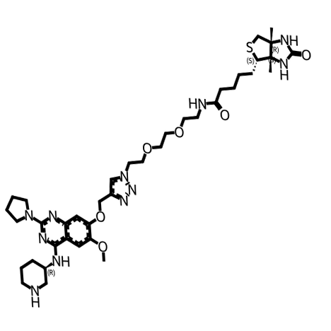 COc1cc2c(N[C@@H]3CCCNC3)nc(N3CCCC3)nc2cc1OCc1cn(CCOCCOCCNC(=O)CCCC[C@@H]2SC[C@]3(C)NC(=O)N[C@]23C)nn1